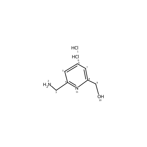 Cl.Cl.NCc1cccc(CO)n1